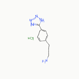 Cl.NCCCc1ccc(-c2nnn[nH]2)cc1